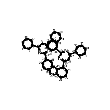 c1ccc(-c2cc(-c3ccccc3)nc(-c3ccc4sc5cccc(-c6cc(-c7ccccc7)nc(-c7ccccc7)n6)c5c4c3)n2)cc1